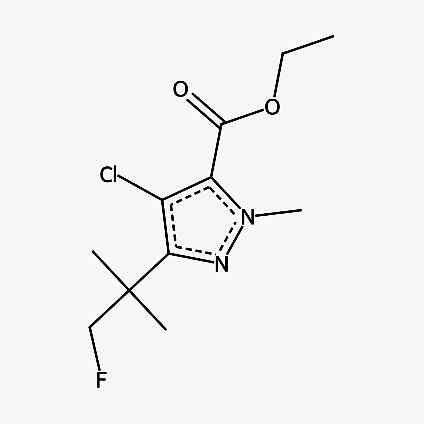 CCOC(=O)c1c(Cl)c(C(C)(C)CF)nn1C